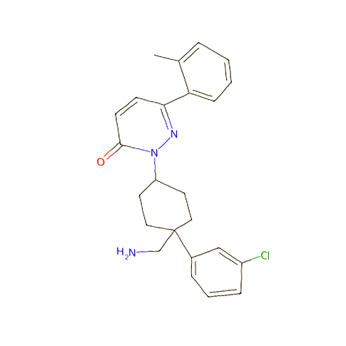 Cc1ccccc1-c1ccc(=O)n(C2CCC(CN)(c3cccc(Cl)c3)CC2)n1